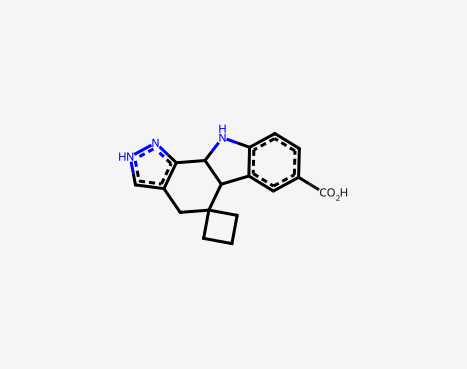 O=C(O)c1ccc2c(c1)C1C(N2)c2n[nH]cc2CC12CCC2